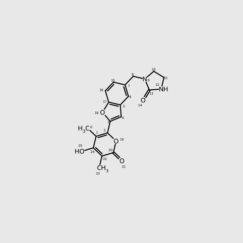 Cc1c(-c2cc3cc(CN4CCNC4=O)ccc3o2)oc(=O)c(C)c1O